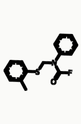 Cc1ccccc1SCN(C(=O)F)c1ccccc1